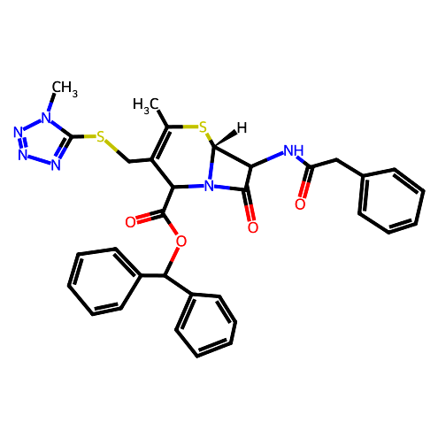 CC1=C(CSc2nnnn2C)C(C(=O)OC(c2ccccc2)c2ccccc2)N2C(=O)C(NC(=O)Cc3ccccc3)[C@H]2S1